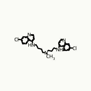 CN(CCCCNc1ccnc2cc(Cl)ccc12)CCCNc1ccnc2cc(Cl)ccc12